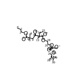 CCCOC(=O)C(C)(C)CC(=O)C(C)(CC)C(=O)OCCOP(=O)([O-])OC[N+](C)(C)C